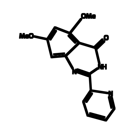 COc1cc(OC)c2c(=O)[nH]c(-c3ccccn3)nc2c1